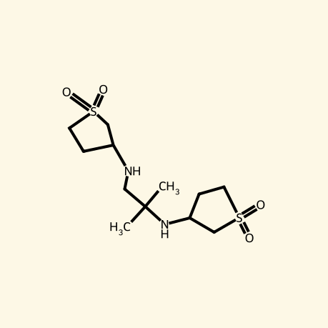 CC(C)(CNC1CCS(=O)(=O)C1)NC1CCS(=O)(=O)C1